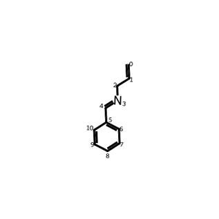 C=CCN=Cc1ccccc1